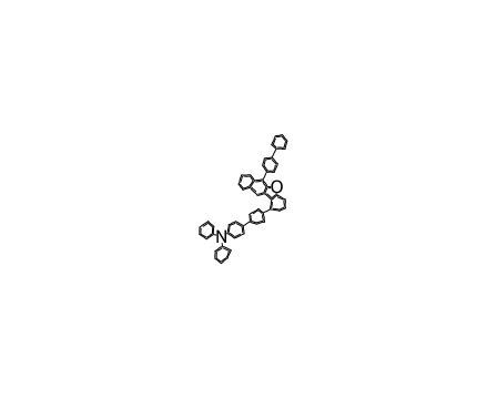 c1ccc(-c2ccc(-c3c4ccccc4cc4c3oc3cccc(-c5ccc(-c6ccc(N(c7ccccc7)c7ccccc7)cc6)cc5)c34)cc2)cc1